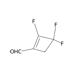 O=[C]C1=C(F)C(F)(F)C1